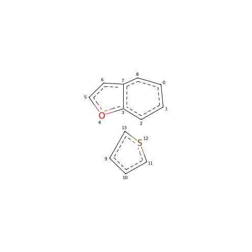 c1ccc2occc2c1.c1ccsc1